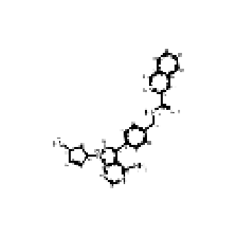 Nc1ncnc2c1c(-c1ccc(CNC(=O)c3cc4ccccc4cn3)cc1)nn2C1C=CC(O)C1